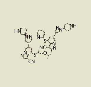 CC(Cc1nn2cc(-c3cnn(C4CCNCC4)c3)cc(Sc3ccccn3)c2c1C#N)OC[C@@H](C)Sc1cc(-c2cnn([C@@H]3CCCNC3)c2)cn2ncc(C#N)c12